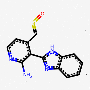 Nc1nccc(C=S=O)c1-c1nc2ccccc2[nH]1